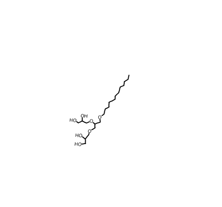 CCCCCCCCCCCCOCC(COCC(O)CO)OCC(O)CO